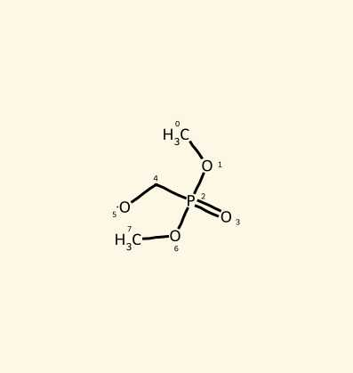 COP(=O)(C[O])OC